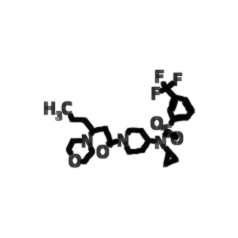 CCCC(CC(=O)N1CCC(N(C2CC2)S(=O)(=O)c2cccc(C(F)(F)F)c2)CC1)N1CCOCC1